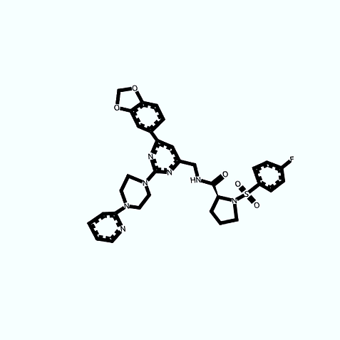 O=C(NCc1cc(-c2ccc3c(c2)OCO3)nc(N2CCN(c3ccccn3)CC2)n1)[C@@H]1CCCN1S(=O)(=O)c1ccc(F)cc1